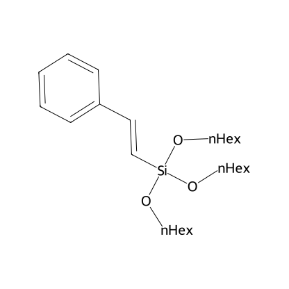 CCCCCCO[Si](C=Cc1ccccc1)(OCCCCCC)OCCCCCC